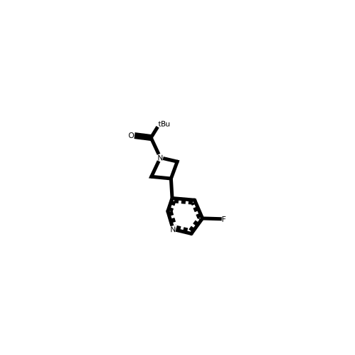 CC(C)(C)C(=O)N1CC(c2cncc(F)c2)C1